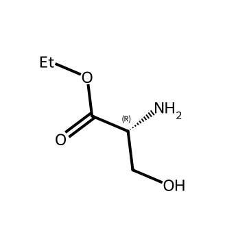 CCOC(=O)[C@H](N)CO